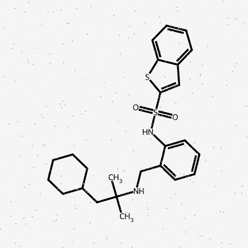 CC(C)(CC1CCCCC1)NCc1ccccc1NS(=O)(=O)c1cc2ccccc2s1